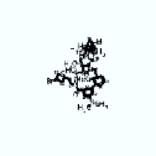 COc1c(CN2O[C@@H](CO)[C@H]([C@H](C)O)[C@H]2C(=O)N[C@H]2C[C@H]3C[C@@H]([C@@H]2C)C3(C)C)cccc1-c1cc(C(=O)NCCC2CC(Br)CS2)cc(N(C)C)c1